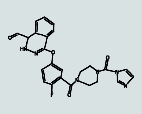 O=CC1NN=C(Oc2ccc(F)c(C(=O)N3CCN(C(=O)n4ccnc4)CC3)c2)c2ccccc21